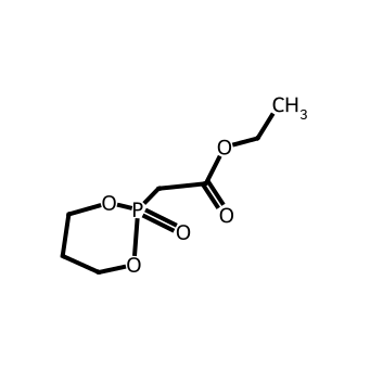 CCOC(=O)CP1(=O)OCCCO1